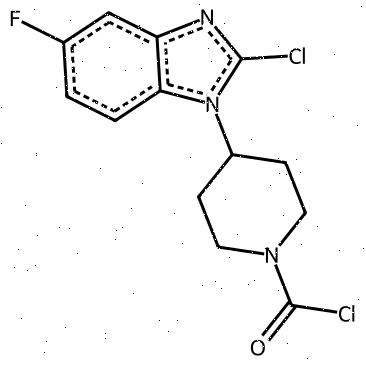 O=C(Cl)N1CCC(n2c(Cl)nc3cc(F)ccc32)CC1